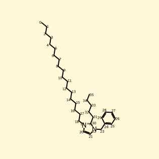 CCCCCCCCCCCCCCCCCCC[n+]1ccn(Cc2ccccc2)c1CCCCC